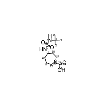 CC(C)(C)NS(=O)(=O)N[C@H]1CCCN(C(=O)O)CC1